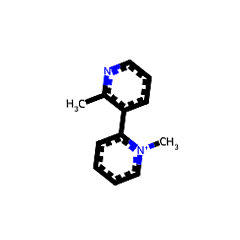 Cc1ncccc1-c1cccc[n+]1C